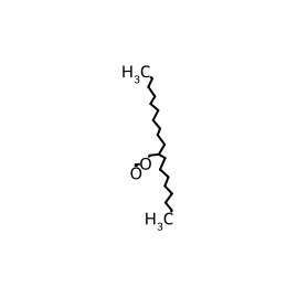 CCCCCCCCCCC(CCCCCCCC)COC=O